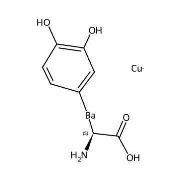 N[C@@H]([Ba][c]1ccc(O)c(O)c1)C(=O)O.[Cu]